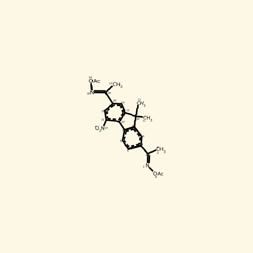 CC(=O)O/N=C(\C)c1ccc2c(c1)C(C)(C)c1cc(/C(C)=N/OC(C)=O)cc([N+](=O)[O-])c1-2